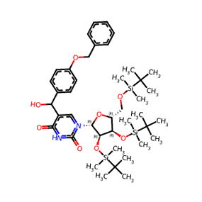 CC(C)(C)[Si](C)(C)OC[C@H]1O[C@@H](n2cc(C(O)c3ccc(OCc4ccccc4)cc3)c(=O)[nH]c2=O)[C@H](O[Si](C)(C)C(C)(C)C)[C@@H]1O[Si](C)(C)C(C)(C)C